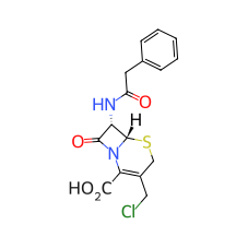 O=C(Cc1ccccc1)N[C@H]1C(=O)N2C(C(=O)O)=C(CCl)CS[C@@H]12